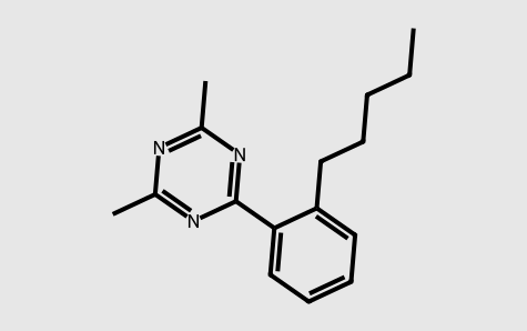 CCCCCc1ccccc1-c1nc(C)nc(C)n1